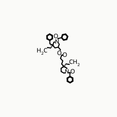 C=CC[C@]1(CCCC(=O)OCC2CN(C(=O)c3ccccc3)C[C@@](CC=C)(Cc3ccccc3)C2)CCCN(C(=O)c2ccccc2)C1